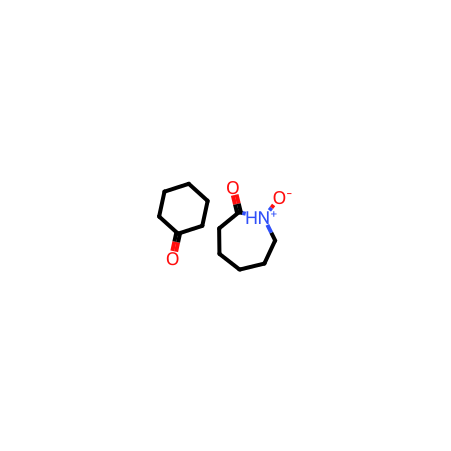 O=C1CCCCC1.O=C1CCCCC[NH+]1[O-]